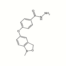 CB1OCc2cc(Oc3ccc(C(=O)NN)cc3)ccc21